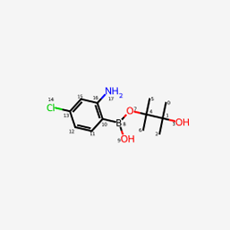 CC(C)(O)C(C)(C)OB(O)c1ccc(Cl)cc1N